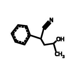 CC(O)CC(C#N)c1ccccc1